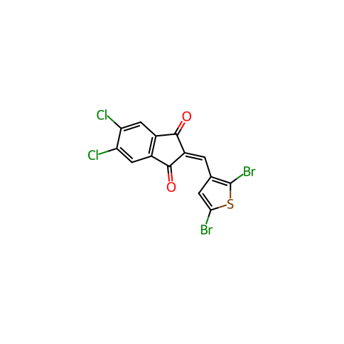 O=C1C(=Cc2cc(Br)sc2Br)C(=O)c2cc(Cl)c(Cl)cc21